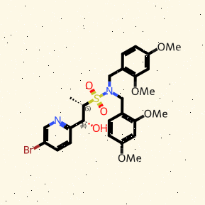 COc1ccc(CN(Cc2ccc(OC)cc2OC)S(=O)(=O)[C@@H](C)[C@H](O)c2ccc(Br)cn2)c(OC)c1